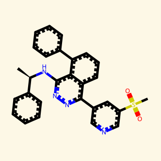 C[C@@H](Nc1nnc(-c2cncc(S(C)(=O)=O)c2)c2cccc(-c3ccccc3)c12)c1ccccc1